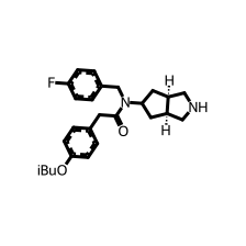 CC(C)COc1ccc(CC(=O)N(Cc2ccc(F)cc2)C2C[C@H]3CNC[C@H]3C2)cc1